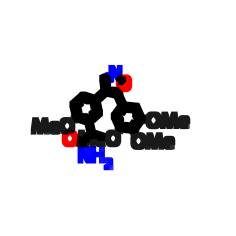 COc1ccc(-c2cnoc2-c2cc(OC)c(OC)c(OC)c2)cc1C(C)C(N)=O